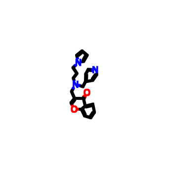 O=c1c(CN(CCCn2cccc2)Cc2ccncc2)coc2ccccc12